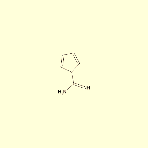 N=C(N)C1C=CC=C1